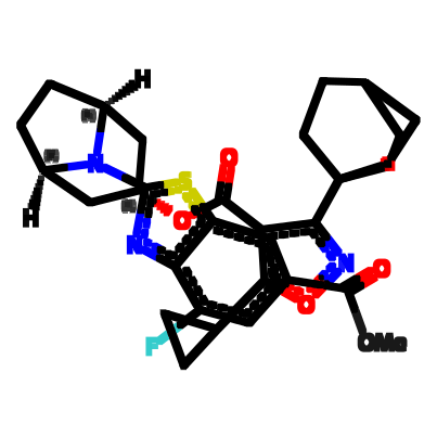 COC(=O)c1cc(F)c2nc(N3[C@@H]4CC[C@H]3C[C@H](OC(=O)c3c(C56CCC(CC5)CC6)noc3C3CC3)C4)sc2c1